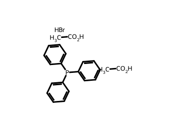 Br.CC(=O)O.CC(=O)O.c1ccc(P(c2ccccc2)c2ccccc2)cc1